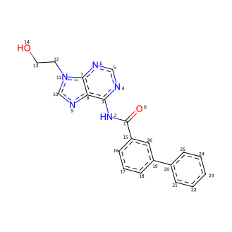 O=C(Nc1ncnc2c1ncn2CCO)c1cccc(-c2ccccc2)c1